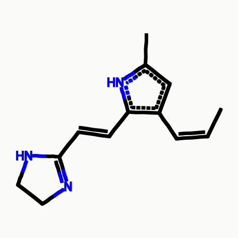 C/C=C\c1cc(C)[nH]c1/C=C/C1=NCCN1